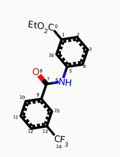 CCOC(=O)c1cccc(NC(=O)c2cccc(C(F)(F)F)c2)c1